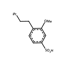 COc1cc(S(=O)(=O)O)ccc1CCC(C)C